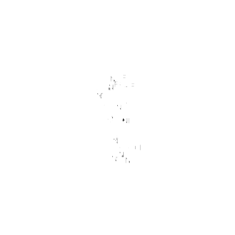 CC1(C(F)(F)F)CN(C(=O)Nc2cnc(-n3nccn3)c(Cl)c2)c2cnc3cc(F)nn3c21